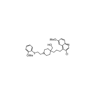 COc1ccc2ncc(Cl)c(CCCC3(CO)CCN(CCSc4ccccc4OC)CC3)c2c1